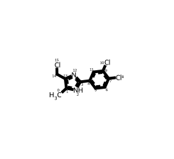 Cc1[nH]c(-c2ccc(Cl)c(Cl)c2)nc1CCl